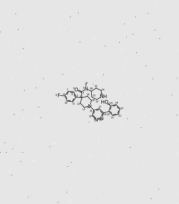 CN(C(=O)C1(c2ccc(F)cc2)CCN(c2cnnc(-c3ccccc3O)c2)CC1)C1CCNCC1